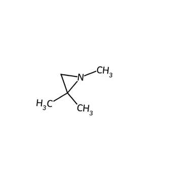 CN1CC1(C)C